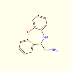 NCC1Nc2ccccc2Oc2ccccc21